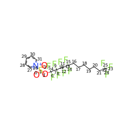 O=S(=O)(OC(F)(F)C(F)(F)C(F)(F)C(F)(F)CCCCCCC(F)(F)F)[n+]1ccccc1